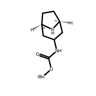 CC(C)(C)OC(=O)NC1C[C@H]2CC[C@@H](C1)N2